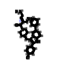 NC/C=C(\CN)C(=O)N1CCN(CC2=C(c3ccc(Cl)cc3)NC3C=CC(c4ccccc4)=CN23)CC1